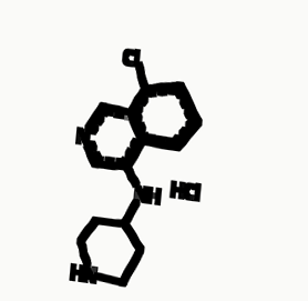 Cl.Clc1cccc2c(NC3CCNCC3)cncc12